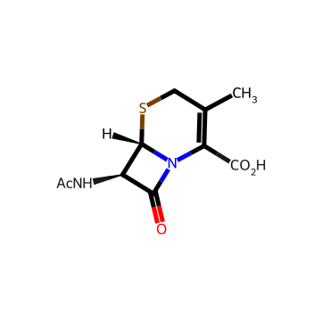 CC(=O)N[C@@H]1C(=O)N2C(C(=O)O)=C(C)CS[C@@H]12